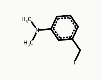 CN(C)c1cccc(CI)c1